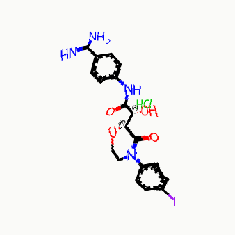 Cl.N=C(N)c1ccc(NC(=O)[C@H](O)[C@H]2OCCN(c3ccc(I)cc3)C2=O)cc1